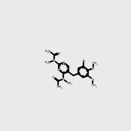 COc1cc(Cc2cnc(N(N)C(N)=O)nc2N(N)C(N)=O)cc(Br)c1OC